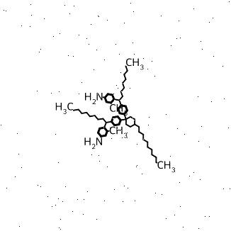 CCCCCCCCCCCC1CCC(c2ccc(C(CCCCCCCCC)c3ccc(N)cc3C)cc2)(c2ccc(C(CCCCCCCCC)c3ccc(N)cc3C)cc2)CC1